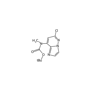 CN(C(=O)OC(C)(C)C)c1cc(Cl)nn2ccnc12